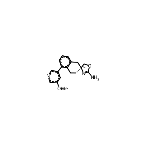 COc1cncc(-c2cccc3c2CC[C@@]2(COC(N)=N2)C3)c1